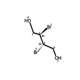 OC[C@@H](Br)[C@@H](Br)CO